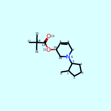 CC1CCCC1N1CC=C[C@H](OC(=O)C(C)(C)C)C1